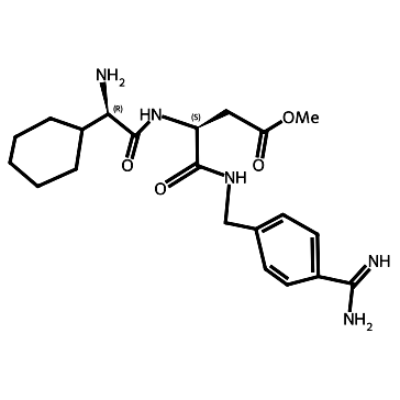 COC(=O)C[C@H](NC(=O)[C@H](N)C1CCCCC1)C(=O)NCc1ccc(C(=N)N)cc1